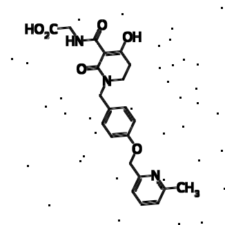 Cc1cccc(COc2ccc(CN3CCC(O)=C(C(=O)NCC(=O)O)C3=O)cc2)n1